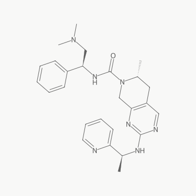 C[C@H](Nc1ncc2c(n1)CN(C(=O)N[C@H](CN(C)C)c1ccccc1)[C@H](C)C2)c1ccccn1